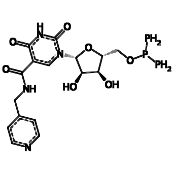 O=C(NCc1ccncc1)c1cn([C@@H]2O[C@H](COP(P)P)[C@@H](O)[C@H]2O)c(=O)[nH]c1=O